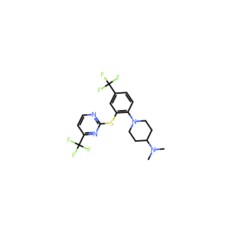 CN(C)C1CCN(c2ccc(C(F)(F)F)cc2Sc2nccc(C(F)(F)F)n2)CC1